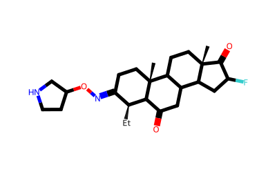 CC[C@H]1C(=NOC2CCNC2)CC[C@]2(C)C3CC[C@]4(C)C(=O)C(F)CC4C3CC(=O)C12